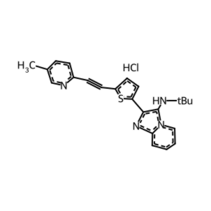 Cc1ccc(C#Cc2ccc(-c3nc4ccccn4c3NC(C)(C)C)s2)nc1.Cl